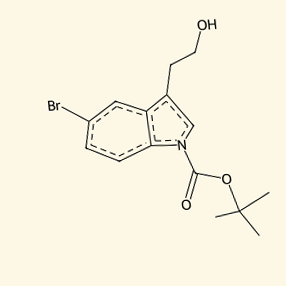 CC(C)(C)OC(=O)n1cc(CCO)c2cc(Br)ccc21